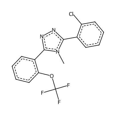 Cn1c(-c2ccccc2Cl)nnc1-c1ccccc1OC(F)(F)F